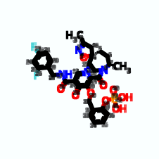 CC1=NO[C@@]2(CC[C@H](C)N3CC2n2cc(C(=O)NCc4ccc(F)cc4F)c(=O)c(OCc4ccccc4OP(=O)(O)O)c2C3=O)C1